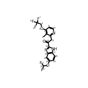 Cc1c(OCC(F)(F)F)ccnc1CC(=O)c1nc2cc(OC(F)F)ccc2[nH]1